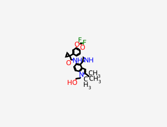 CC(C)(C)c1cc2c(C3CN3)c(NC(=O)C3(c4ccc5c(c4)OC(F)(F)O5)CC3)ccc2n1CCO